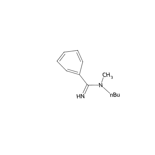 CCCCN(C)C(=N)c1ccccc1